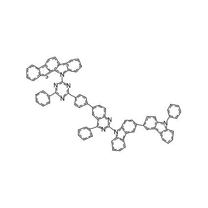 c1ccc(-c2nc(-c3ccc(-c4ccc5nc(-n6c7ccccc7c7cc(-c8ccc9c(c8)c8ccccc8n9-c8ccccc8)ccc76)nc(-c6ccccc6)c5c4)cc3)nc(-n3c4ccccc4c4ccc5c6ccccc6sc5c43)n2)cc1